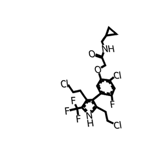 O=C(COc1cc(-c2c(CCCl)[nH]c(C(F)(F)F)c2CCCl)c(F)cc1Cl)NCC1CC1